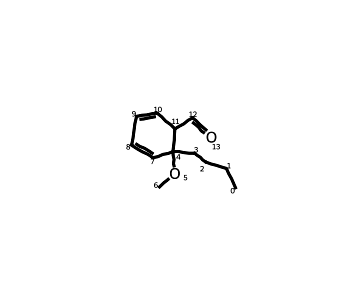 CCCCC1(OC)C=CC=CC1C=O